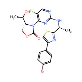 C[C@@H](Nc1ncc(F)c(N2C(=O)OC[C@@H]2[C@@H](C)O)n1)c1nc(-c2ccc(Br)cc2)cs1